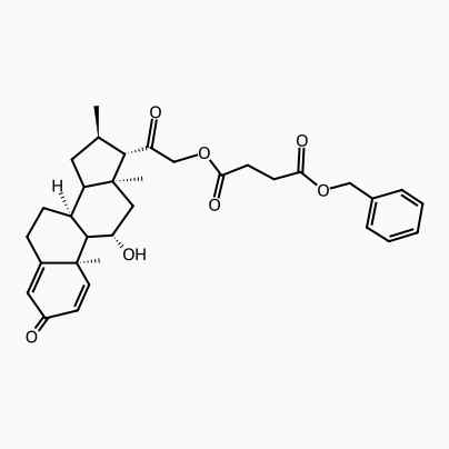 C[C@@H]1CC2[C@@H]3CCC4=CC(=O)C=C[C@]4(C)C3[C@@H](O)C[C@]2(C)[C@H]1C(=O)COC(=O)CCC(=O)OCc1ccccc1